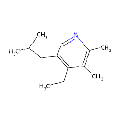 CCc1c(CC(C)C)cnc(C)c1C